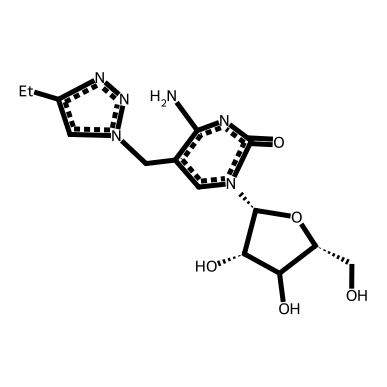 CCc1cn(Cc2cn([C@@H]3O[C@H](CO)C(O)[C@@H]3O)c(=O)nc2N)nn1